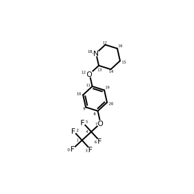 FC(F)(F)C(F)(F)Oc1ccc(OC2CCCC[N]2)cc1